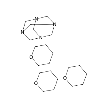 C1CCOCC1.C1CCOCC1.C1CCOCC1.C1N2CN3CN1CN(C2)C3